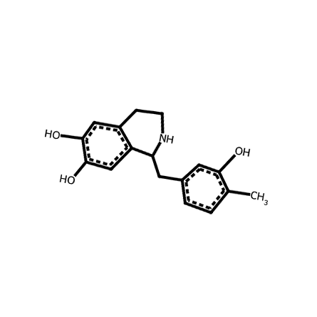 Cc1ccc(CC2NCCc3cc(O)c(O)cc32)cc1O